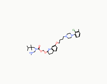 CNCN(CC(C)(C)C(C)C)C(=O)OCOC1=Nc2cc(OCCCCN3CCN(c4cccc(C)c4Cl)CC3)ccc2CC1